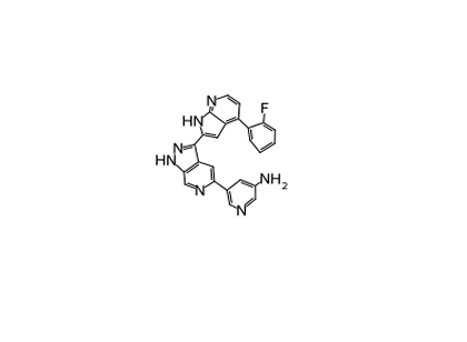 Nc1cncc(-c2cc3c(-c4cc5c(-c6ccccc6F)ccnc5[nH]4)n[nH]c3cn2)c1